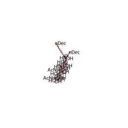 CCCCCCCCCCCCC/C=C/[C@@H](O)[C@H](CO[C@@H]1OC(CO)[C@@H](O[C@@H]2OC(CO)[C@H](O[C@@H]3OC(CO)[C@H](O)[C@H](O[C@@H]4OC(CO)[C@H](O)[C@H](O[C@@H]5OC(CO)[C@@H](O)[C@H](O)C5NC(C)=O)C4O)C3NC(C)=O)[C@H](O)C2O)[C@H](O)C1O)NC(=O)CCCCCCCCCCCCCCCCCCCCCCC